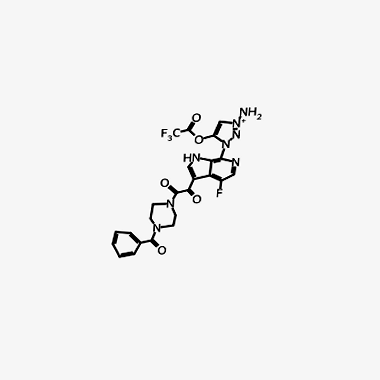 N[n+]1cc(OC(=O)C(F)(F)F)n(-c2ncc(F)c3c(C(=O)C(=O)N4CCN(C(=O)c5ccccc5)CC4)c[nH]c23)n1